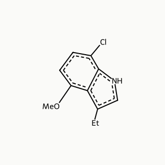 CCc1c[nH]c2c(Cl)ccc(OC)c12